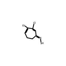 CCC1=CCC/C(=N\S)C=C1Cl